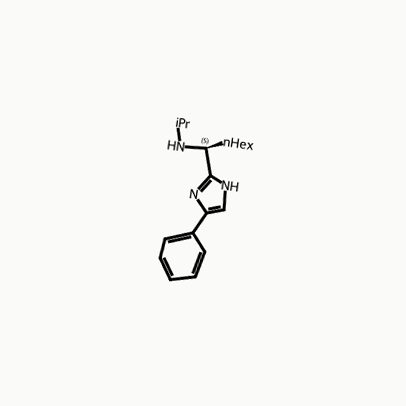 CCCCCC[C@H](NC(C)C)c1nc(-c2ccccc2)c[nH]1